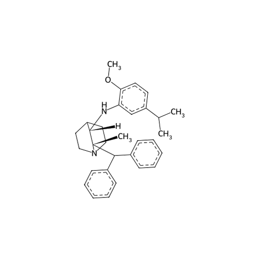 COc1ccc(C(C)C)cc1N[C@H]1C2CCN(CC2)[C@@]1(C)C(c1ccccc1)c1ccccc1